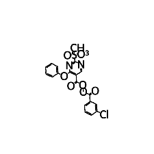 CS(=O)(=O)c1ncc(C(=O)OOC(=O)c2cccc(Cl)c2)c(Oc2ccccc2)n1